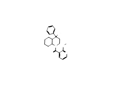 CCOc1ncccc1C(=O)N1CCC(O)(c2ccccc2)C2CCCCC21